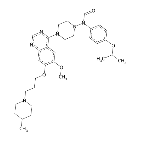 COc1cc2c(N3CCN(N(C=O)c4ccc(OC(C)C)cc4)CC3)ncnc2cc1OCCCN1CCC(C)CC1